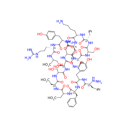 CC(C)C[C@H](NN)C(=O)NC(Cc1ccc(O)cc1)C(=O)N[C@@H](Cc1ccccc1)C(=O)NC(CC(=O)O)C(=O)N[C@@H](CC(=O)O)C(=O)NC(CO)C(=O)N[C@@H](CO)C(=O)NC(CC(N)=O)C(=O)N[C@H](C(=O)NC(CO)C(=O)N[C@@H](CC(C)C)C(=O)NC(CCCCN)C(=O)N[C@@H](CCCCN)C(=O)NC(Cc1ccc(O)cc1)C(=O)N[C@@H](CCCNC(=N)N)C(=O)NC(CO)C(=O)O)C(C)C